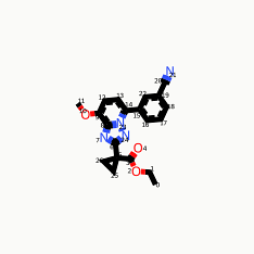 CCOC(=O)C1(c2nc3c(OC)ccc(-c4cccc(C#N)c4)n3n2)CC1